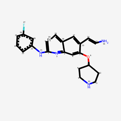 C=C(/N=C1C=C(OC2CCNCC2)C(/C=C/N)=CC/1=C/CC)Nc1cccc(F)c1